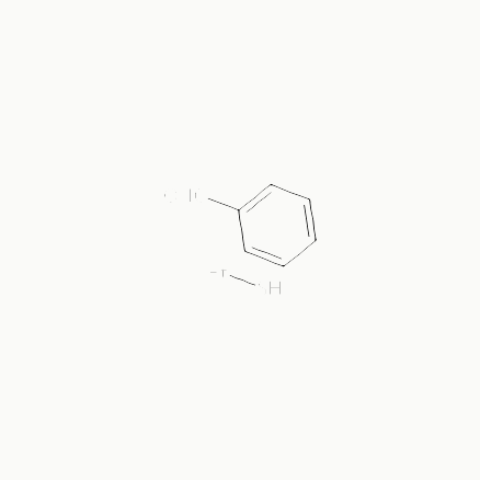 CCS.O=Cc1ccccc1